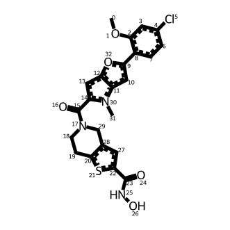 COc1cc(Cl)ccc1-c1cc2c(cc(C(=O)N3CCc4sc(C(=O)NO)cc4C3)n2C)o1